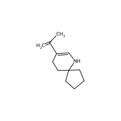 C=C(C)C1=CNC2(CCCC2)CC1